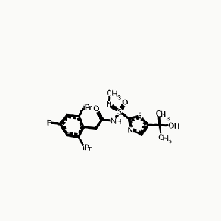 CN=S(=O)(NC(=O)Cc1c(C(C)C)cc(F)cc1C(C)C)c1ncc(C(C)(C)O)s1